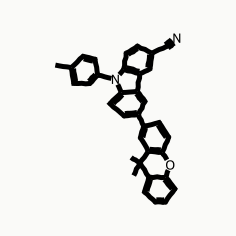 Cc1ccc(-n2c3ccc(C#N)cc3c3cc(-c4ccc5c(c4)C(C)(C)c4ccccc4O5)ccc32)cc1